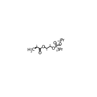 C=CC(=O)OCCOP(=O)(OC(C)C)C(C)C